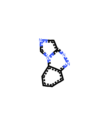 c1ccc2c(c1)nnc1cncn12